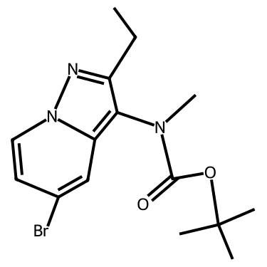 CCc1nn2ccc(Br)cc2c1N(C)C(=O)OC(C)(C)C